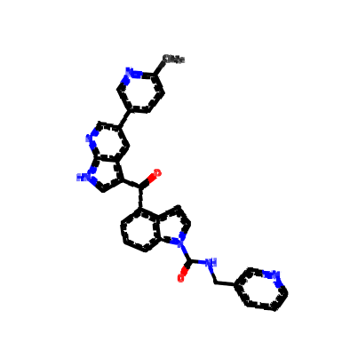 COc1ccc(-c2cnc3[nH]cc(C(=O)c4cccc5c4ccn5C(=O)NCc4cccnc4)c3c2)cn1